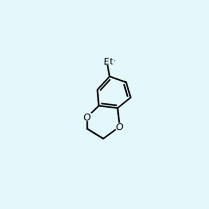 C[CH]c1ccc2c(c1)OCCO2